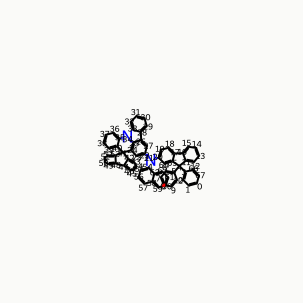 c1ccc(C2(c3ccccc3)c3ccccc3-c3ccc(N(c4cc5c6c(c4)c4ccccc4n6-c4ccccc4C54c5ccccc5-c5ccccc54)c4cccc5ccccc45)cc32)cc1